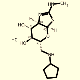 CNC1=N[C@@H]2[C@@H](O)[C@H](O)[C@@H](CNC3CCCC3)O[C@@H]2S1.Cl